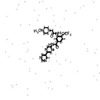 CN1CCN(CC(=O)Nc2cc(C(=O)Nc3cnc(-c4cncnc4)cn3)ccc2OC(F)(F)F)CC1